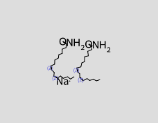 CCCCC/C=C\C/C=C\CCCCCCCC(N)=O.CCCCC/C=C\C/C=C\CCCCCCCC(N)=O.[Na]